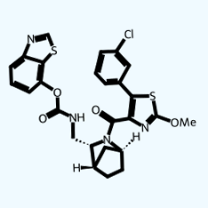 COc1nc(C(=O)N2[C@H]3CC[C@@H](C3)[C@@H]2CNC(=O)Oc2cccc3ncsc23)c(-c2cccc(Cl)c2)s1